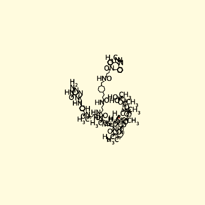 CO[C@@H]1C[C@@H](C[C@H]2CC[C@H](C)C([C@@H](C)C(=O)NCCSSC[C@@H](C)NC(=O)C(CCCNC(=O)CCC3CCCC(CCNC(=O)CCC(=O)N4Cc5ccccc5-c5nnn(C)c5-c5ccccc54)CC3)NC(=O)CC[C@@H](C)NC(=O)c3ccc(NCc4cnc5nc(N)[nH]c(=O)c5n4)cc3)O2)O[C@]2(O[C@@](C)(C3CC[C@@](C)([C@@H]4O[C@@H]([C@@H]5O[C@@](O)(CO)[C@H](C)C[C@@H]5C)C[C@@H]4C)O3)C[C@H]2C)C1C